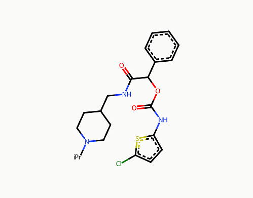 CC(C)N1CCC(CNC(=O)C(OC(=O)Nc2ccc(Cl)s2)c2ccccc2)CC1